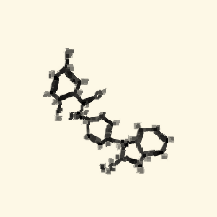 O=C(Nc1ccc(-n2c(C(F)(F)F)nc3ccccc32)cc1)c1cc(F)ccc1F